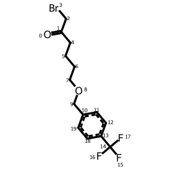 O=C(CBr)CCCCOCc1ccc(C(F)(F)F)cc1